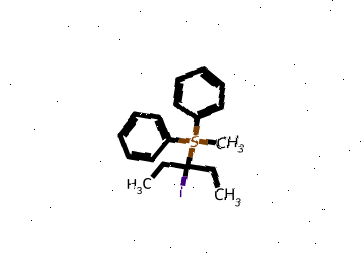 CCC(I)(CC)S(C)(c1ccccc1)c1ccccc1